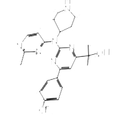 Cc1nccc(N(c2nc(-c3ccc(C(F)(F)F)cc3)cc(C(C)(C)O)n2)C2CCNCC2)n1